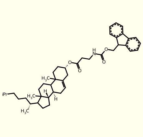 CC(C)CCC[C@@H](C)C1CC[C@H]2[C@@H]3CC=C4C[C@@H](OC(=O)CCNC(=O)OCC5c6ccccc6-c6ccccc65)CCC4(C)C3CCC12C